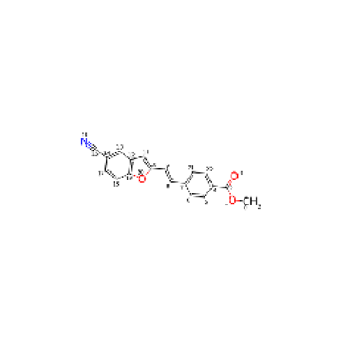 COC(=O)c1ccc(/C=C/c2cc3cc(C#N)ccc3o2)cc1